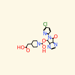 O=C(O)CC1CCN(C(O)OC2c3nccnc3C(=O)N2c2ccc(Cl)cn2)CC1